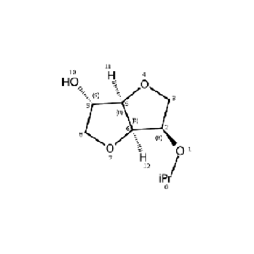 CC(C)O[C@@H]1CO[C@H]2[C@@H]1OC[C@@H]2O